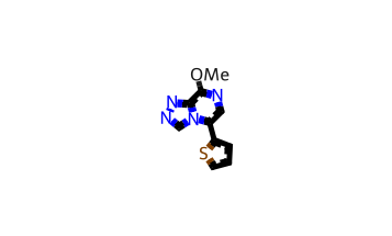 COc1ncc(-c2cccs2)n2cnnc12